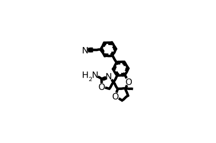 CC12CCOC1C1(COC(N)=N1)c1cc(-c3cccc(C#N)c3)ccc1O2